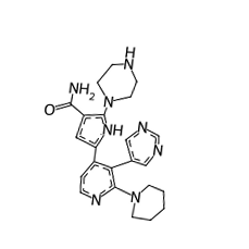 NC(=O)c1cc(-c2ccnc(N3CCCCC3)c2-c2cncnc2)[nH]c1N1CCNCC1